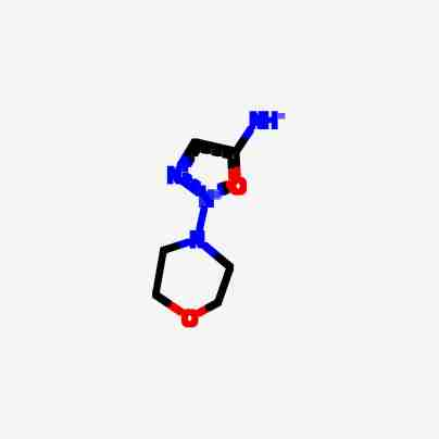 [NH-]c1cn[n+](N2CCOCC2)o1